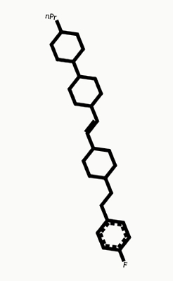 CCCC1CCC(C2CCC(/C=C/C3CCC(CCc4ccc(F)cc4)CC3)CC2)CC1